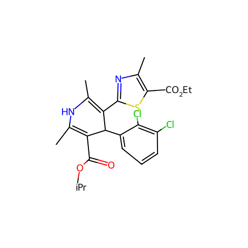 CCOC(=O)c1sc(C2=C(C)NC(C)=C(C(=O)OC(C)C)C2c2cccc(Cl)c2Cl)nc1C